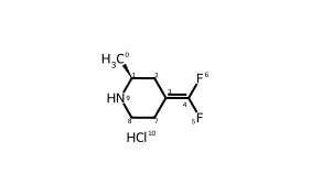 C[C@H]1CC(=C(F)F)CCN1.Cl